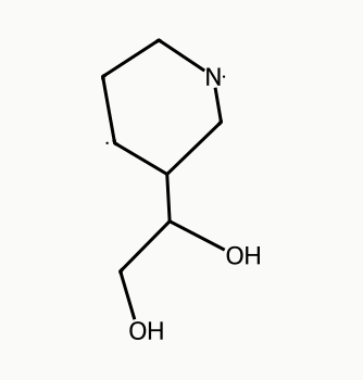 OCC(O)C1[CH]CC[N]C1